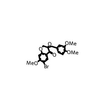 COc1cc2c(cc1Br)C(=O)C1(CO2)OC1c1ccc(OC)c(OC)c1